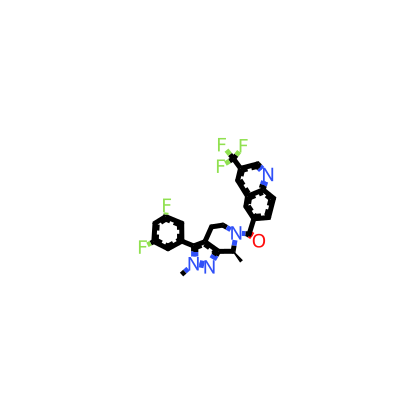 C[C@H]1c2nn(C)c(-c3cc(F)cc(F)c3)c2CCN1C(=O)c1ccc2ncc(C(F)(F)F)cc2c1